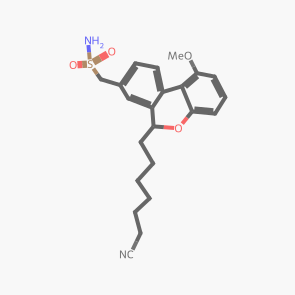 COc1cccc2c1-c1ccc(CS(N)(=O)=O)cc1C(CCCCCCC#N)O2